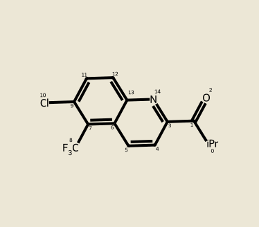 CC(C)C(=O)c1ccc2c(C(F)(F)F)c(Cl)ccc2n1